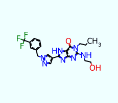 CCCn1c(NCCO)nc2nc(-c3cnn(Cc4cccc(C(F)(F)F)c4)c3)[nH]c2c1=O